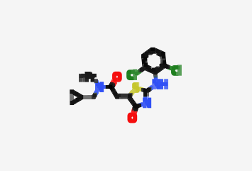 CCCN(CC1CC1)C(=O)C=C1SC(Nc2c(Cl)cccc2Cl)=NC1=O